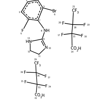 Fc1cccc(Br)c1NC1=NCCN1.O=C(O)C(F)(F)C(F)(F)C(F)(F)F.O=C(O)C(F)(F)C(F)(F)C(F)(F)F